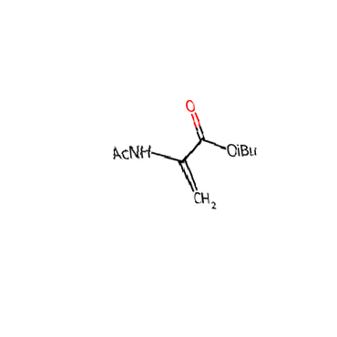 C=C(NC(C)=O)C(=O)OCC(C)C